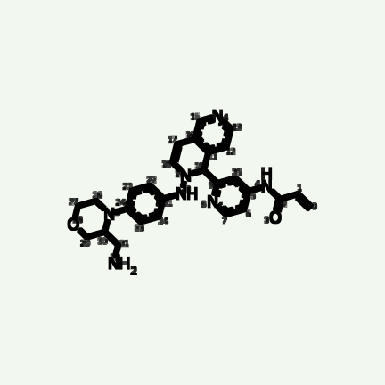 C=CC(=O)Nc1ccnc(C2c3ccncc3C=CN2Nc2ccc(N3CCOCC3CN)cc2)c1